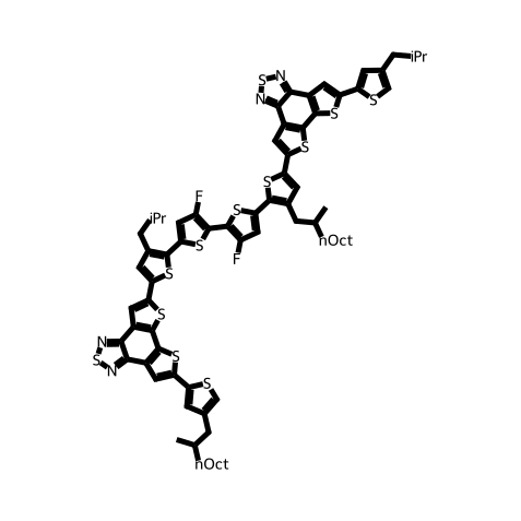 CCCCCCCCC(C)Cc1csc(-c2cc3c4nsnc4c4cc(-c5cc(CC(C)C)c(-c6cc(F)c(-c7sc(-c8sc(-c9cc%10c%11nsnc%11c%11cc(-c%12cc(CC(C)C)cs%12)sc%11c%10s9)cc8CC(C)CCCCCCCC)cc7F)s6)s5)sc4c3s2)c1